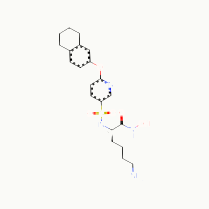 NCCCC[C@@H](NS(=O)(=O)c1ccc(Oc2ccc3c(c2)CCCC3)nc1)C(=O)NO